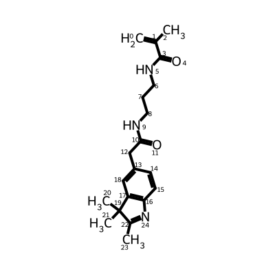 C=C(C)C(=O)NCCCNC(=O)Cc1ccc2c(c1)C(C)(C)C(C)=N2